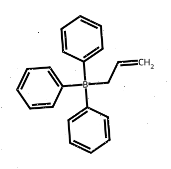 C=CC[B-](c1ccccc1)(c1ccccc1)c1ccccc1